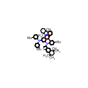 CC(C)(C)c1cccc(N(c2cc(N(c3ccc(C(C)(C)C)cc3-c3ccccc3)c3csc4cc5c(cc34)C(C)(C)CCC5(C)C)cc(N3c4ccccc4C4(C)CCCCC34C)c2)c2cccc(C(C)(C)C)c2)c1